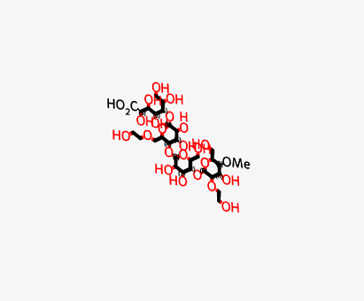 CO[C@H]1C(CO)O[C@H](O[C@H]2C(CO)O[C@H](O[C@H]3C(COCCO)O[C@H](O[C@@H](C(O)CO)[C@@H](O)C(O)[C@H](O)C(=O)O)C(O)[C@@H]3O)C(O)[C@@H]2O)C(OCCO)[C@@H]1O